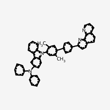 Cc1cc(-n2c3ccccc3c3cc(N(c4ccccc4)c4ccccc4)ccc32)c(C)cc1-c1ccc(-c2ccc3ccc4cccnc4c3n2)cc1